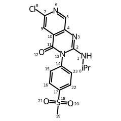 CC(C)Nc1nc2cnc(Cl)cc2c(=O)n1-c1ccc(S(C)(=O)=O)cc1